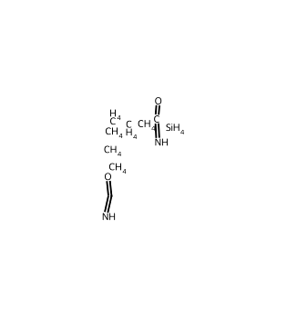 C.C.C.C.C.C.N=C=O.N=C=O.[SiH4]